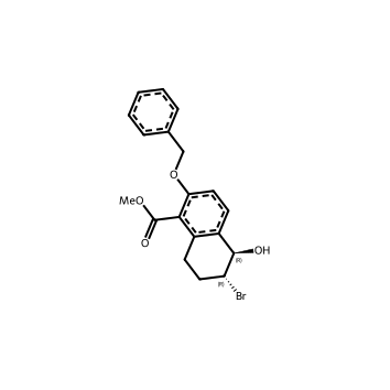 COC(=O)c1c(OCc2ccccc2)ccc2c1CC[C@@H](Br)[C@@H]2O